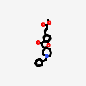 COC(=O)/C=C/c1ccc2c(c1)C(=O)CC1(CCCN(Cc3ccccc3)CC1)O2